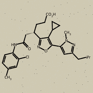 Cc1ccc(NC(=O)C[C@H](CCC(=O)O)c2noc(-c3cc(CC(C)C)nn3C)c2C2CC2)c(Cl)c1